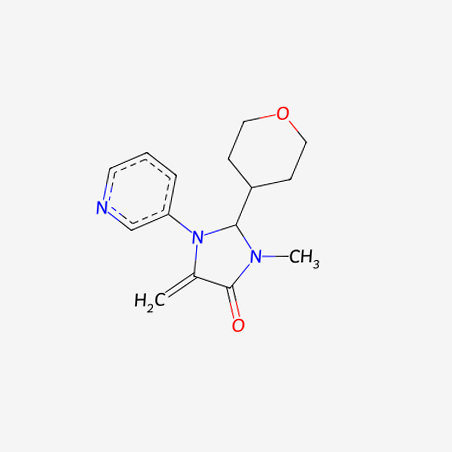 C=C1C(=O)N(C)C(C2CCOCC2)N1c1cccnc1